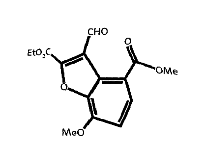 CCOC(=O)c1oc2c(OC)ccc(C(=O)OC)c2c1C=O